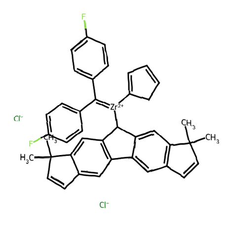 CC1(C)C=Cc2cc3c(cc21)[CH]([Zr+2]([C]1=CC=CC1)=[C](c1ccc(F)cc1)c1ccc(F)cc1)c1cc2c(cc1-3)C=CC2(C)C.[Cl-].[Cl-]